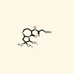 CNCC(=O)NC1CCSC2CC(C)(C)C(C)N2C1=O